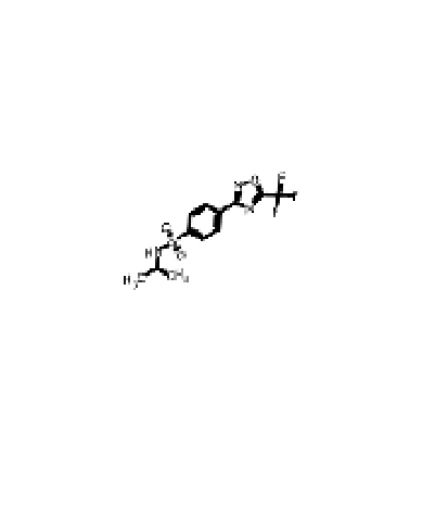 CC(C)NS(=O)(=O)c1ccc(-c2noc(C(F)(F)F)n2)cc1